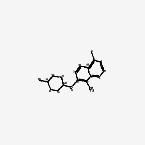 Cc1cccc2c(C(F)(F)F)c(OC3CCC(C)CC3)ccc12